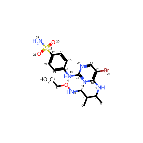 CC(CNOCC(=O)O)C(C)Nc1nc(Nc2ccc(S(N)(=O)=O)cc2)ncc1Br